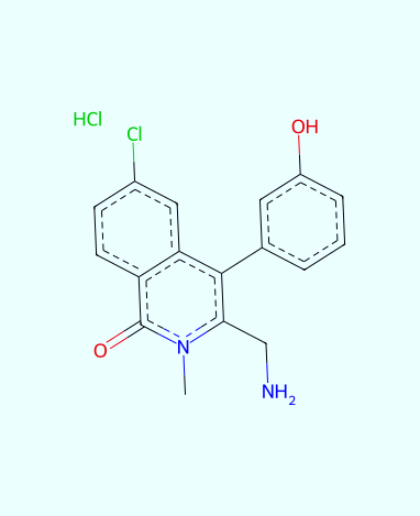 Cl.Cn1c(CN)c(-c2cccc(O)c2)c2cc(Cl)ccc2c1=O